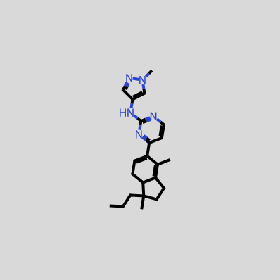 CCCC1(C)CCC2=C(C)C(c3ccnc(Nc4cnn(C)c4)n3)=CCC21